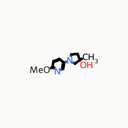 COc1ccc(N2CCC(C)(O)C2)cn1